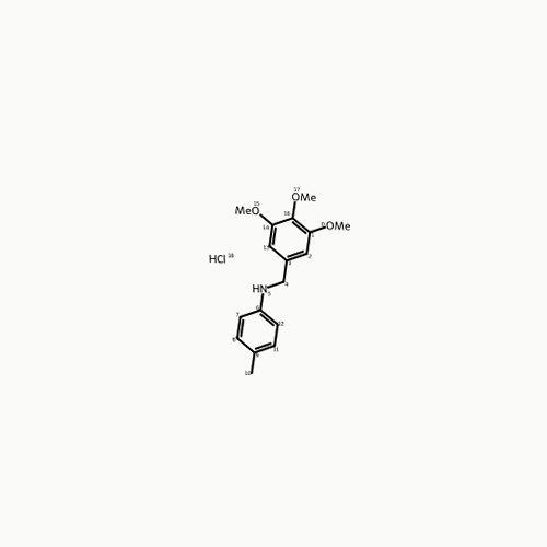 COc1cc(CNc2ccc(C)cc2)cc(OC)c1OC.Cl